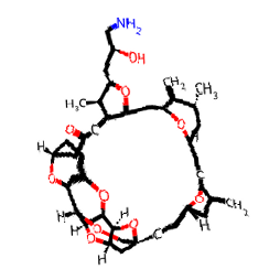 C=C1C[C@@H]2CC[C@@]34C[C@@H]5O[C@@H]6C(OC7CC[C@H](CC(=O)CC8C(CC9O[C@@H](CCC1O2)C[C@@H](C)C9=C)O[C@H](C[C@H](O)CN)[C@@H]8C)OC7[C@@H]6O3)[C@H]5O4